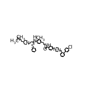 Cc1cc(CCNC(=O)c2ccc(N3CCN(Cc4ccccc4-c4ccc(Cl)cc4)CC3)cc2)ccc1N[C@H](CCN1CCC(CCN(C)C)CC1)CSc1ccccc1